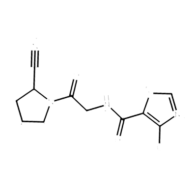 Cc1ncsc1C(=O)NCC(=O)N1CCCC1C#N